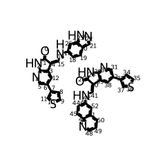 O=C1Nc2ncc(-c3ccsc3)cc2C1=CNc1ccc2cn[nH]c2c1.O=C1Nc2ncc(-c3ccsc3)cc2C1=CNc1ccc2ncccc2c1